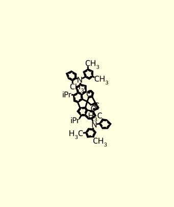 Cc1cc(C)cc(N(c2ccc3c4c(cc(C(C)C)c3c2)-c2cc(C(C)C)c3cc(N(c5cc(C)cc(C)c5)c5ccccc5C)ccc3c2C42c3ccccc3-c3ccccc32)c2ccccc2C)c1